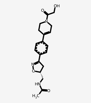 CC(=O)NC[C@H]1CC(c2ccc(C3=CCN(C(=O)CO)CC3)cc2)=NO1